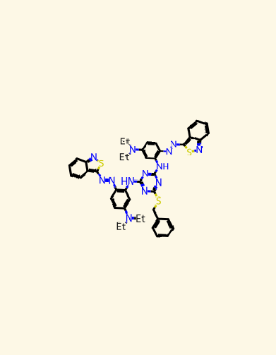 CCN(CC)c1ccc(/N=N/c2snc3ccccc23)c(Nc2nc(Nc3cc(N(CC)CC)ccc3/N=N/c3snc4ccccc34)nc(SCc3ccccc3)n2)c1